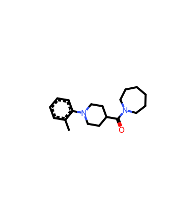 Cc1ccccc1N1CCC(C(=O)N2CCCCCC2)CC1